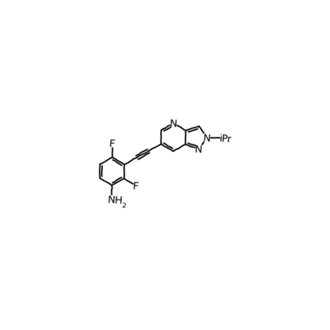 CC(C)n1cc2ncc(C#Cc3c(F)ccc(N)c3F)cc2n1